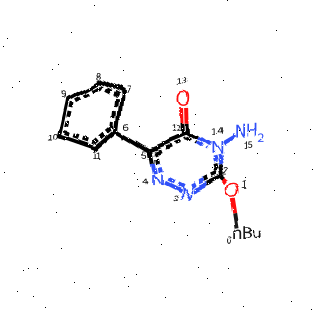 CCCCOc1nnc(-c2ccccc2)c(=O)n1N